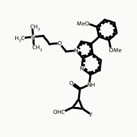 COc1cccc(OC)c1-c1cn(COCC[Si](C)(C)C)c2nc(NC(=O)C3C(F)C3C=O)ccc12